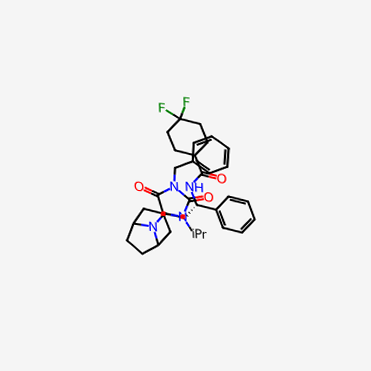 CC(C)N1C(=O)N(Cc2ccccc2)C(=O)C12CC1CCC(C2)N1CC[C@H](NC(=O)C1CCC(F)(F)CC1)c1ccccc1